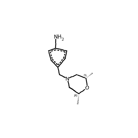 C[C@@H]1CN(Cc2ccc(N)cc2)C[C@H](C)O1